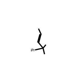 CC=CC(C)(C)C(C)C